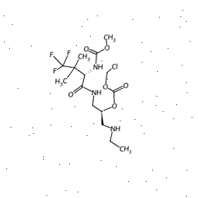 CCNC[C@@H](CNC(=O)[C@@H](NC(=O)OC)C(C)(C)C(F)(F)F)OC(=O)OCCl